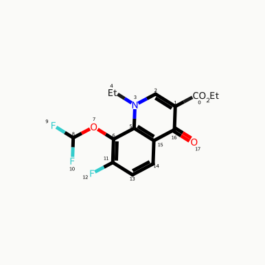 CCOC(=O)c1cn(CC)c2c(OC(F)F)c(F)ccc2c1=O